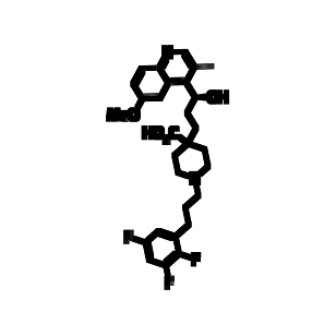 COc1ccc2ncc(C)c([C@@H](O)CCC3(C(=O)O)CCN(CCCc4cc(F)cc(F)c4F)CC3)c2c1